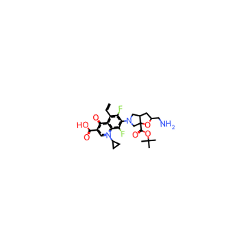 C=Cc1c(F)c(N2CC3CC(CN)OC3(C(=O)OC(C)(C)C)C2)c(F)c2c1c(=O)c(C(=O)O)cn2C1CC1